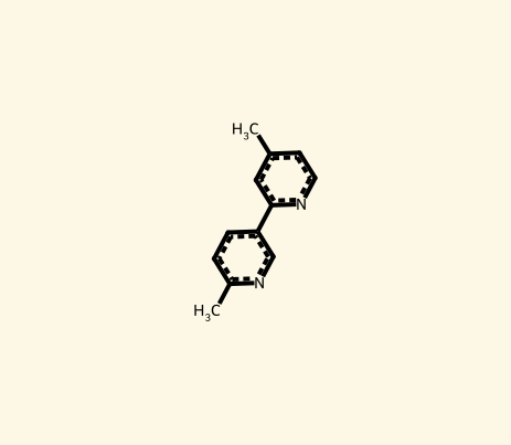 Cc1ccnc(-c2ccc(C)nc2)c1